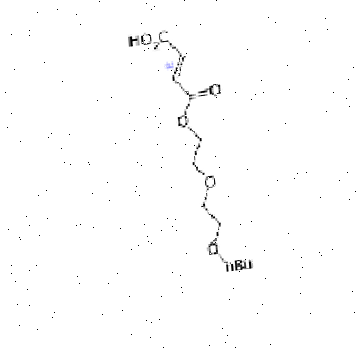 CCCCOCCOCCOC(=O)/C=C/C(=O)O